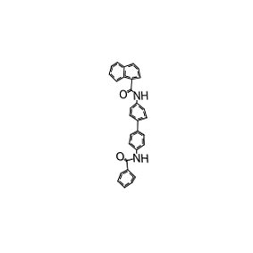 O=C(Nc1ccc(-c2ccc(NC(=O)c3cccc4ccccc34)cc2)cc1)c1ccccc1